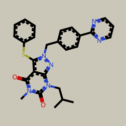 CC(C)Cn1c(=O)n(C)c(=O)c2c(Sc3ccccc3)n(Cc3ccc(-c4ncccn4)cc3)nc21